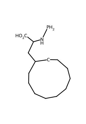 O=C(O)C(CC1CCCCCCCCCC1)NP